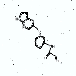 C=CC(=O)Nc1cccc(Oc2cnc3[nH]ccc3n2)c1